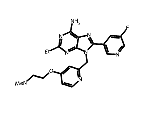 CCc1nc(N)c2nc(-c3cncc(F)c3)n(Cc3cc(OCCNC)ccn3)c2n1